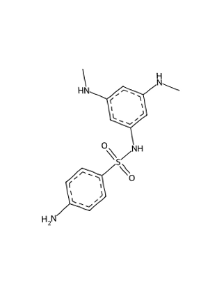 CNc1cc(NC)cc(NS(=O)(=O)c2ccc(N)cc2)c1